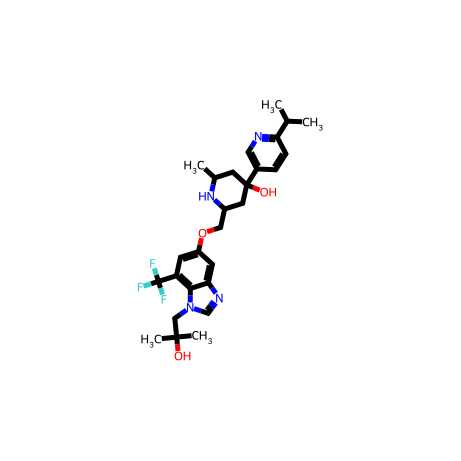 CC1CC(O)(c2ccc(C(C)C)nc2)CC(COc2cc(C(F)(F)F)c3c(c2)ncn3CC(C)(C)O)N1